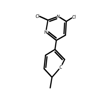 CC1C=CC(c2cc(Cl)nc(Cl)n2)=CC1